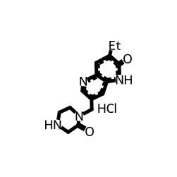 CCc1cc2ncc(CN3CCNCC3=O)cc2[nH]c1=O.Cl